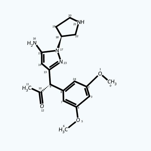 COc1cc(OC)cc([C@H](C(C)=O)c2cc(N)n([C@H]3CCNC3)n2)c1